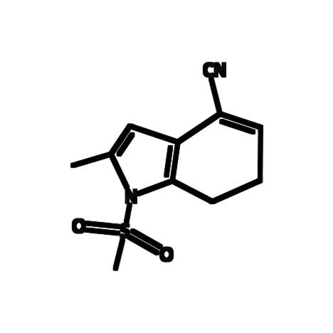 Cc1cc2c(n1S(C)(=O)=O)CCC=C2C#N